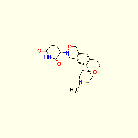 CN1CCC2(CC1)OCCc1cc3c(cc12)CN(C1CCC(=O)NC1=O)OC3